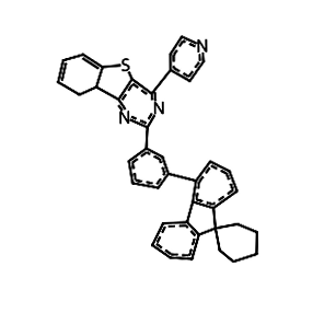 C1=CCC2C(=C1)Sc1c(-c3ccncc3)nc(-c3cccc(-c4cccc5c4-c4ccccc4C54CCCCC4)c3)nc12